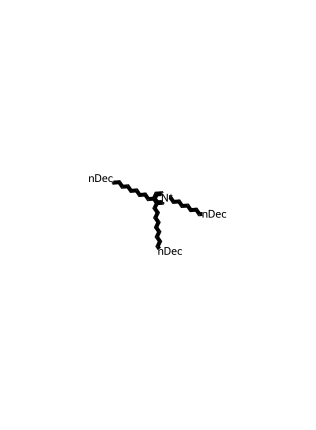 CCCCCCCCCCCCCCCCCCCc1cc[n+](CCCCCCCCCCCCCCCCCC)cc1CCCCCCCCCCCCCCCCCCC